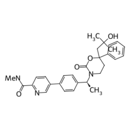 CNC(=O)c1ccc(-c2ccc([C@H](C)N3CCC(CC(C)(C)O)(c4ccccc4)OC3=O)cc2)cn1